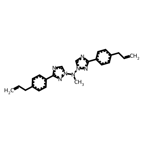 C=CCc1ccc(-c2ncn(N(C)n3cnc(-c4ccc(CC=C)cc4)n3)n2)cc1